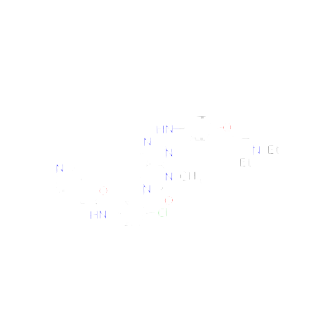 CCN(CC)CCOc1ccc(Nc2ncc3c(n2)N(C)C(=O)N(c2cc(NC(=O)Cc4ccncc4)ccc2Cl)C3)cc1